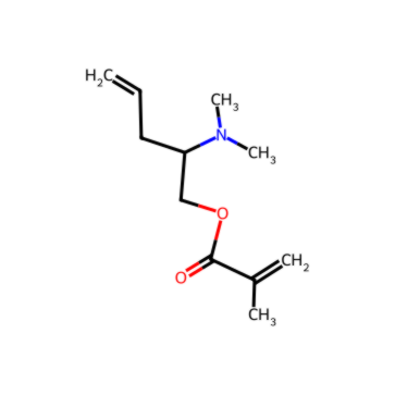 C=CCC(COC(=O)C(=C)C)N(C)C